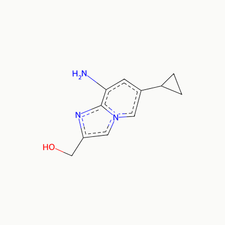 Nc1cc(C2CC2)cn2cc(CO)nc12